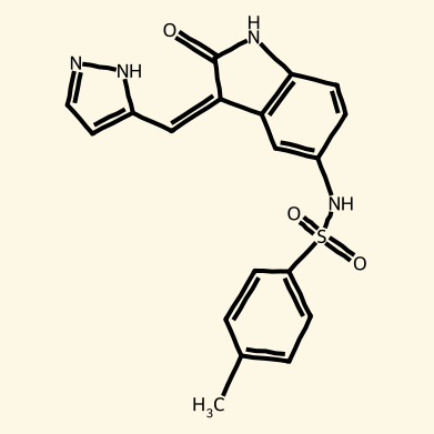 Cc1ccc(S(=O)(=O)Nc2ccc3c(c2)/C(=C/c2ccn[nH]2)C(=O)N3)cc1